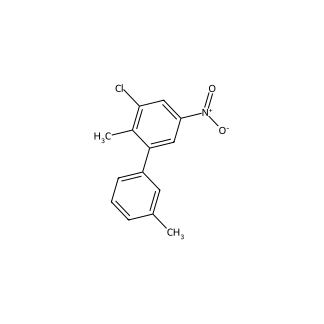 Cc1cccc(-c2cc([N+](=O)[O-])cc(Cl)c2C)c1